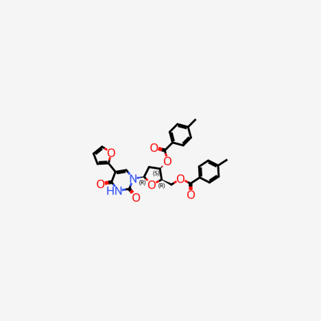 Cc1ccc(C(=O)OC[C@H]2O[C@@H](n3cc(-c4ccco4)c(=O)[nH]c3=O)C[C@@H]2OC(=O)c2ccc(C)cc2)cc1